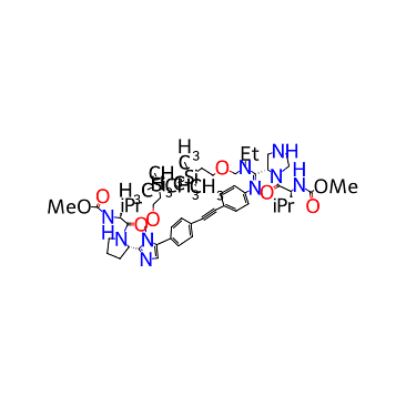 CCN(COCC[Si](C)(C)C)/C(=N\c1ccc(C#Cc2ccc(-c3cnc([C@@H]4CCCN4C(=O)[C@@H](NC(=O)OC)C(C)C)n3COCC[Si](C)(C)C)cc2)cc1)[C@@H]1CNCCN1C(=O)[C@@H](NC(=O)OC)C(C)C